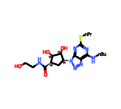 CCCCNc1nc(SCCC)nc2c1nnn2[C@@H]1C[C@H](C(=O)NCCO)[C@@H](O)[C@H]1O